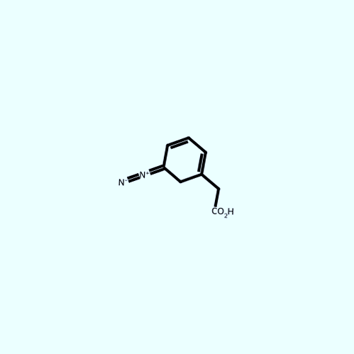 [N-]=[N+]=C1C=CC=C(CC(=O)O)C1